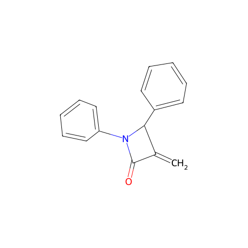 C=C1C(=O)N(c2ccccc2)C1c1ccccc1